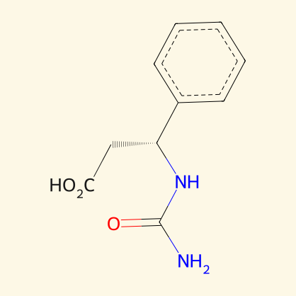 NC(=O)N[C@H](CC(=O)O)c1ccccc1